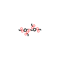 C=CC(=O)Oc1ccc(/C=C/OCc2ccc(OC(=O)C=C)cc2OC(=O)C=C)c(OC(=O)C=C)c1